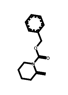 C=C1CCCCN1C(=O)OCc1ccccc1